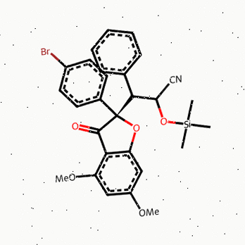 COc1cc(OC)c2c(c1)O[C@](c1ccc(Br)cc1)(C(c1ccccc1)C(C#N)O[Si](C)(C)C)C2=O